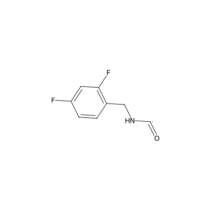 O=[C]NCc1ccc(F)cc1F